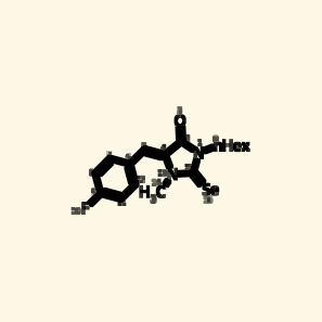 CCCCCCN1C(=O)C(=Cc2ccc(F)cc2)N(C)C1=[Se]